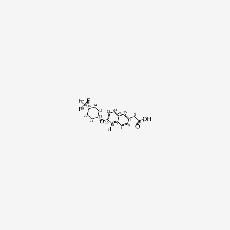 O=C(O)Cc1ccc2c(I)c(O[C@H]3CC[C@@H](C(F)(F)F)CC3)ccc2c1